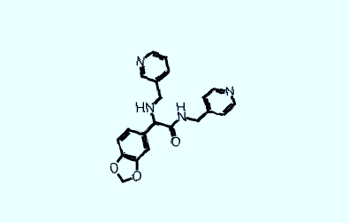 O=C(NCc1ccncc1)C(NCc1cccnc1)c1ccc2c(c1)OCO2